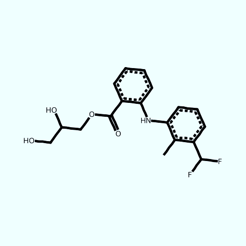 Cc1c(Nc2ccccc2C(=O)OCC(O)CO)cccc1C(F)F